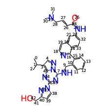 CC(C)c1cnn2c(NCc3ccccc3-c3nccc4cc(NC(=O)/C=C/CN(C)C)ccc34)nc(-n3ccc(CO)n3)nc12